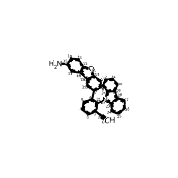 C#Cc1cccc(-c2ccc3oc4ccc(N)cc4c3c2)c1-n1c2ccccc2c2ccccc21